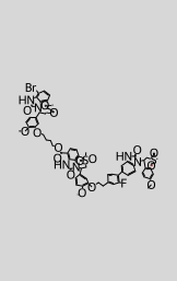 COc1ccc(C(CS(C)(=O)=O)n2c(=O)[nH]c3cc(-c4ccc(CCOc5cc(C(CS(C)(=O)=O)n6c(=O)[nH]c7c(C(=O)OCCCCOc8cc(C(CS(C)(=O)=O)n9c(=O)[nH]c%10c(Br)cccc%109)ccc8OC)cccc76)ccc5OC)cc4F)ccc32)cc1